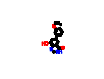 COc1cccc(-c2cc(O)c3nc[nH]c(=O)c3c2)c1